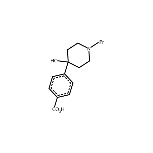 CC(C)N1CCC(O)(c2ccc(C(=O)O)cc2)CC1